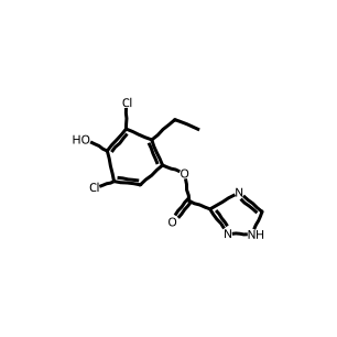 CCc1c(OC(=O)c2nc[nH]n2)cc(Cl)c(O)c1Cl